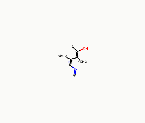 C=N/C=C(OC)\C(C=O)=C(/C)O